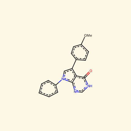 COc1ccc(-c2cn(-c3ccccc3)c3nc[nH]c(=O)c23)cc1